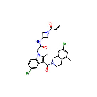 C=CC(=O)N1CC(NC(=O)Cn2c(C)c(C(=O)N3CCc4c(C)cc(Br)cc4C3)c3cc(Br)ccc32)C1